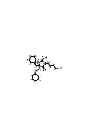 N=C1N[C@](CCC2CCCCC2)(CC2CCCCC2)C(=O)N1CCCCI